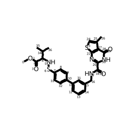 COC(=O)C(NSc1ccc(-c2cccc(CNC(=O)c3nc4scc(C)c4c(=O)[nH]3)c2)cc1)C(C)C